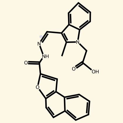 Cc1c(/C=N\NC(=O)c2cc3c(ccc4ccccc43)o2)c2ccccc2n1CC(=O)O